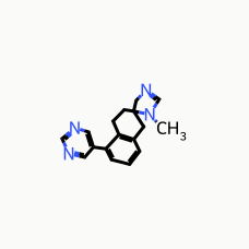 CN1C=NCC12CCc1c(cccc1-c1cncnc1)C2